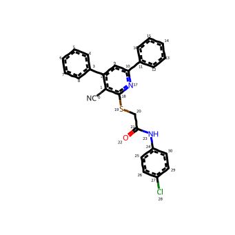 N#Cc1c(-c2ccccc2)cc(-c2ccccc2)nc1SCC(=O)Nc1ccc(Cl)cc1